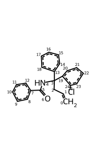 C=CCC(NC(=O)c1ccccc1)(c1ccccc1)c1ccccc1Cl